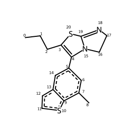 CCCC1=C(c2cc(C)c3sccc3c2)N2CCN=C2S1